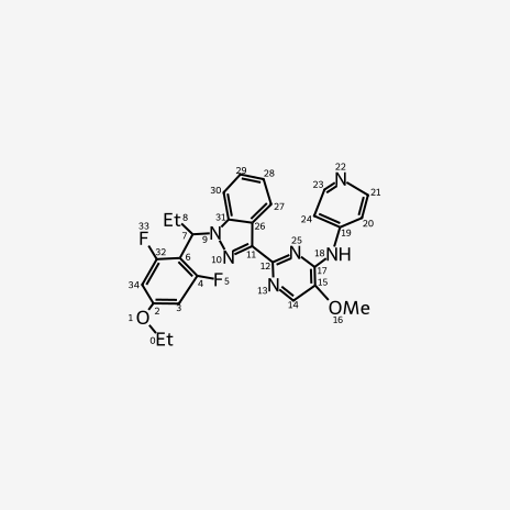 CCOc1cc(F)c(C(CC)n2nc(-c3ncc(OC)c(Nc4ccncc4)n3)c3ccccc32)c(F)c1